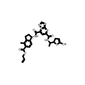 C=CCOC(=O)c1ccc2c(c1C)CC[C@@H]2NC(=O)c1cc(C(=O)NC(C)C2CC=C(C#N)S2)nc2ncnn12